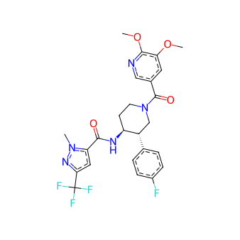 COc1cc(C(=O)N2CC[C@H](NC(=O)c3cc(C(F)(F)F)nn3C)[C@@H](c3ccc(F)cc3)C2)cnc1OC